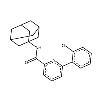 O=C(NC12CC3CC(CC(C3)C1)C2)c1cccc(-c2ccccc2Cl)n1